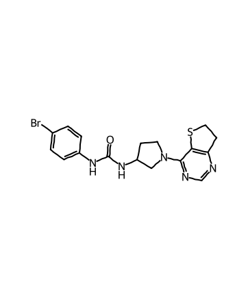 O=C(Nc1ccc(Br)cc1)NC1CCN(c2ncnc3c2SCC3)C1